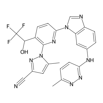 Cc1ccc(Nc2ccc3ncn(-c4ccc(C(O)C(F)(F)F)c(-n5nc(C#N)cc5C)n4)c3c2)nn1